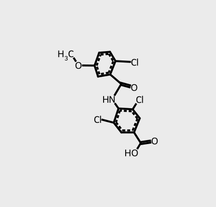 COc1ccc(Cl)c(C(=O)Nc2c(Cl)cc(C(=O)O)cc2Cl)c1